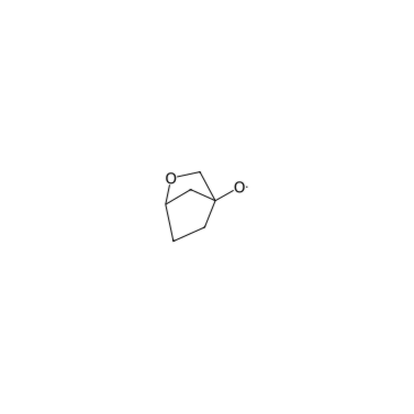 [O]C12CCC(C1)OC2